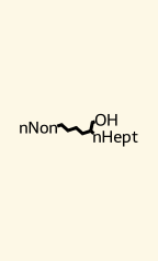 CCCCCCCCCCCCCC(CO)CCCCCCC